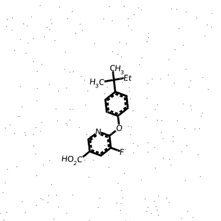 CCC(C)(C)c1ccc(Oc2ncc(C(=O)O)cc2F)cc1